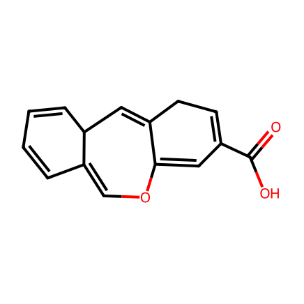 O=C(O)C1=CCC2=CC3C=CC=CC3=COC2=C1